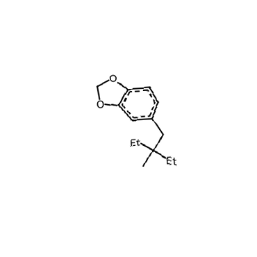 CCC(C)(CC)Cc1ccc2c(c1)OCO2